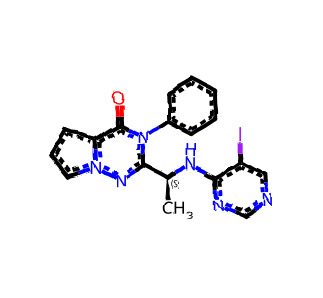 C[C@H](Nc1ncncc1I)c1nn2cccc2c(=O)n1-c1ccccc1